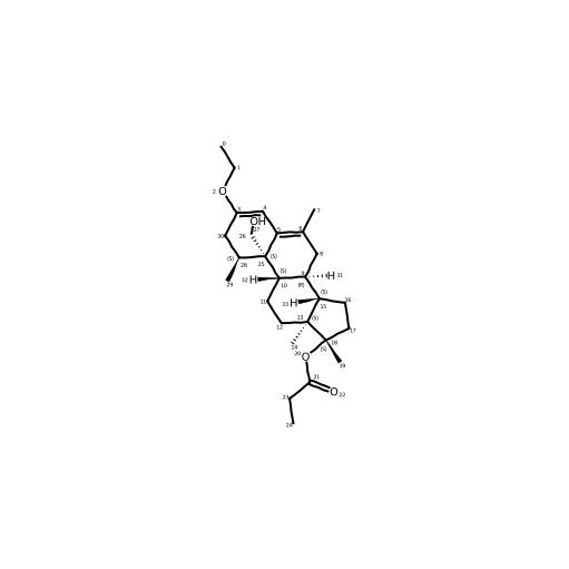 CCOC1=CC2=C(C)C[C@@H]3[C@H](CC[C@@]4(C)[C@H]3CC[C@]4(C)OC(=O)CC)[C@@]2(CO)[C@@H](C)C1